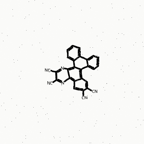 N#Cc1cc2c(cc1C#N)c1c3ccccc3c3ccccc3c1c1nc(C#N)c(C#N)nc21